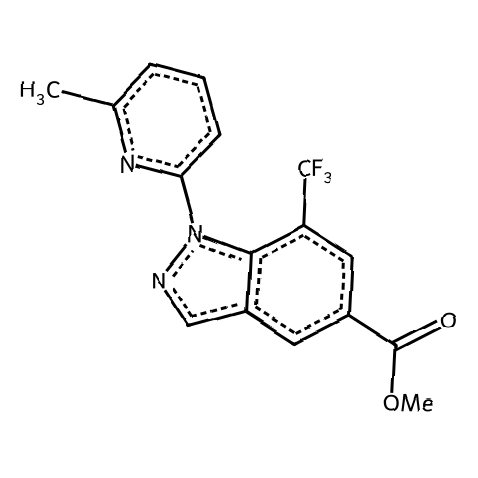 COC(=O)c1cc(C(F)(F)F)c2c(cnn2-c2cccc(C)n2)c1